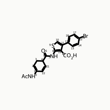 CC(=O)NC1=CCC(C(=O)Nc2scc(-c3ccc(Br)cc3)c2C(=O)O)C=C1